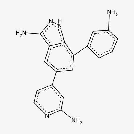 Nc1cccc(-c2cc(-c3ccnc(N)c3)cc3c(N)n[nH]c23)c1